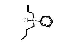 C=CC[Si](Cl)(CCCC)c1ccccc1